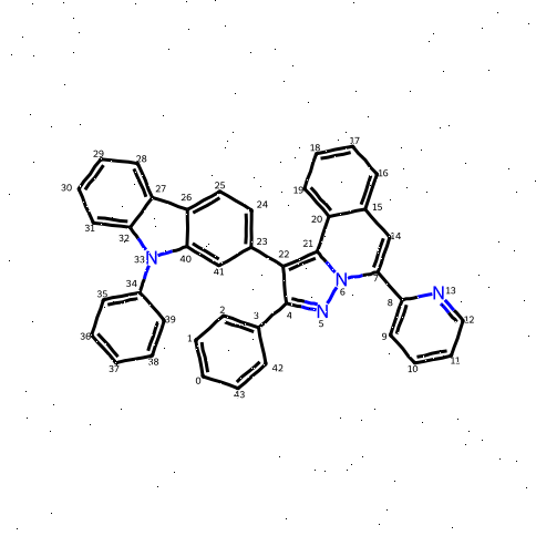 c1ccc(-c2nn3c(-c4ccccn4)cc4ccccc4c3c2-c2ccc3c4ccccc4n(-c4ccccc4)c3c2)cc1